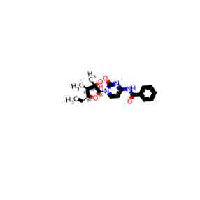 CC[C@H]1O[C@@H](n2ccc(NC(=O)c3ccccc3)nc2=O)[C@@](C)(O)[C@@H]1C